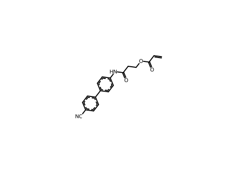 C=CC(=O)OCCC(=O)Nc1ccc(-c2ccc(C#N)cc2)cc1